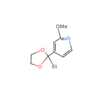 CCC1(c2ccnc(OC)c2)OCCO1